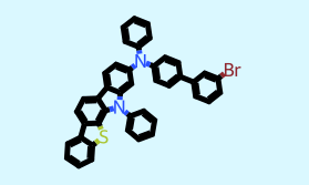 Brc1cccc(-c2ccc(N(c3ccccc3)c3ccc4c5ccc6c7ccccc7sc6c5n(-c5ccccc5)c4c3)cc2)c1